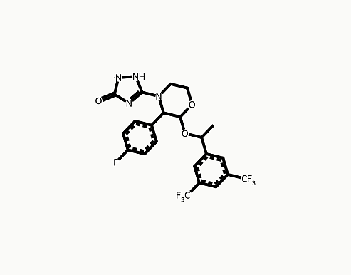 CC(OC1OCCN(C2=NC(=O)[N]N2)C1c1ccc(F)cc1)c1cc(C(F)(F)F)cc(C(F)(F)F)c1